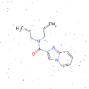 C=CCN(CC=C)C(=O)c1cn2ccccc2n1